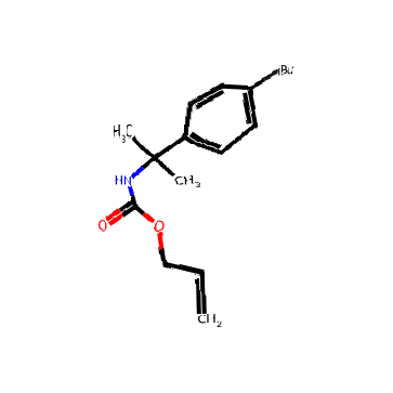 C=CCOC(=O)NC(C)(C)c1ccc(C(C)CC)cc1